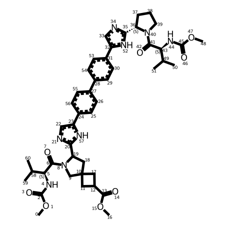 COC(=O)N[C@H](C(=O)N1CC2(CC(C(=O)OC)C2)CC1c1ncc(-c2ccc(-c3ccc(-c4cnc([C@@H]5CCCN5C(=O)[C@@H](NC(=O)OC)C(C)C)[nH]4)cc3)cc2)[nH]1)C(C)C